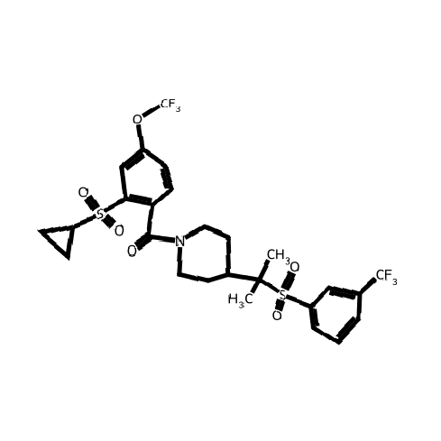 CC(C)(C1CCN(C(=O)c2ccc(OC(F)(F)F)cc2S(=O)(=O)C2CC2)CC1)S(=O)(=O)c1cccc(C(F)(F)F)c1